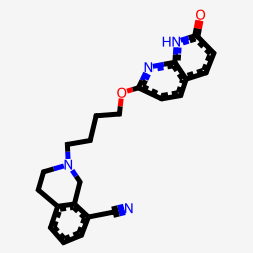 N#Cc1cccc2c1CN(CCCCOc1ccc3ccc(=O)[nH]c3n1)CC2